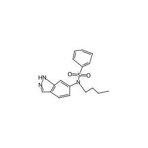 CCCCN(c1ccc2cn[nH]c2c1)S(=O)(=O)c1ccccc1